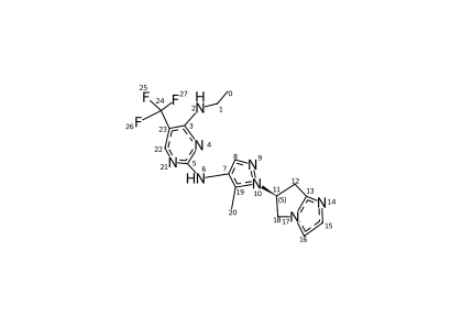 CCNc1nc(Nc2cnn([C@H]3Cc4nccn4C3)c2C)ncc1C(F)(F)F